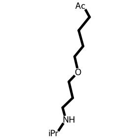 CC(=O)CCCCOCCCNC(C)C